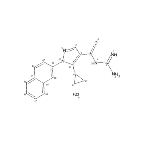 Cl.N=C(N)NC(=O)c1cnn(-c2ccc3ccccc3c2)c1C1CC1